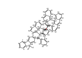 CC1(C)c2ccccc2-c2ccc(N(c3ccccc3-c3ccc4c(c3)c3ccc5cc6ccccc6c6c7c8ccccc8ccc7n4c3c56)c3cc4cccc5ccc6cccc3c6c54)cc21